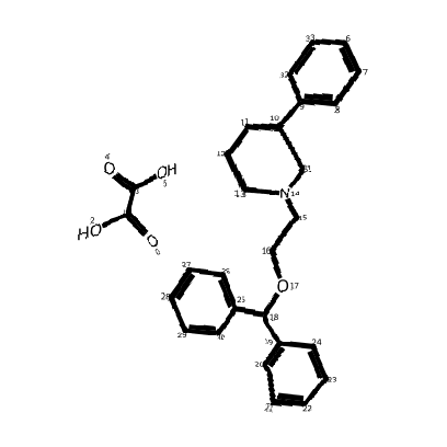 O=C(O)C(=O)O.c1ccc(C2CCCN(CCOC(c3ccccc3)c3ccccc3)C2)cc1